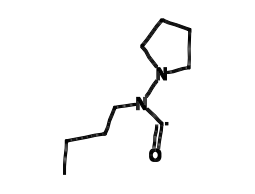 CCCCN([C]=O)N1CCCC1